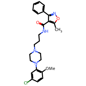 COc1ccc(Cl)cc1N1CCN(CCCNC(=O)c2c(-c3ccccc3)noc2C)CC1